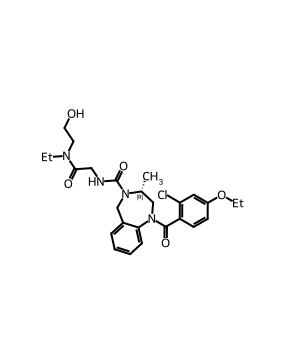 CCOc1ccc(C(=O)N2C[C@@H](C)N(C(=O)NCC(=O)N(CC)CCO)Cc3ccccc32)c(Cl)c1